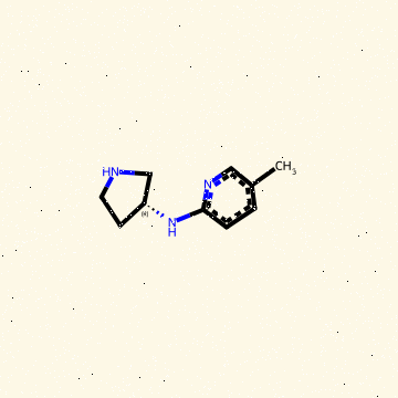 Cc1ccc(N[C@@H]2CCNC2)nc1